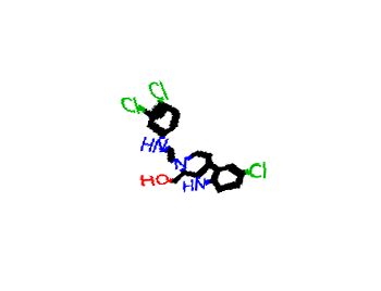 OCC1c2[nH]c3ccc(Cl)cc3c2CCN1CCNc1ccc(Cl)c(Cl)c1